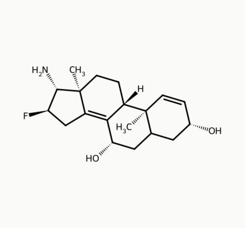 C[C@]12CC[C@H]3C(=C1C[C@@H](F)[C@@H]2N)[C@@H](O)CC1C[C@@H](O)C=C[C@@]13C